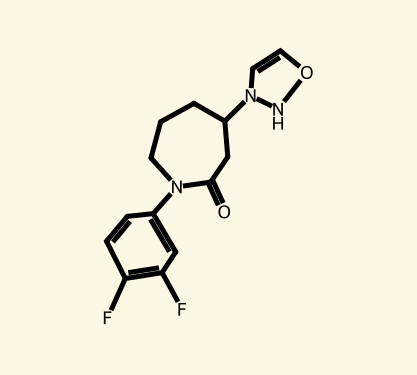 O=C1CC(N2C=CON2)CCCN1c1ccc(F)c(F)c1